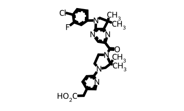 CC1(C)CN(c2ccc(Cl)c(F)c2)c2ncc(C(=O)N3CCN(c4ccc(CC(=O)O)cn4)CC3(C)C)nc21